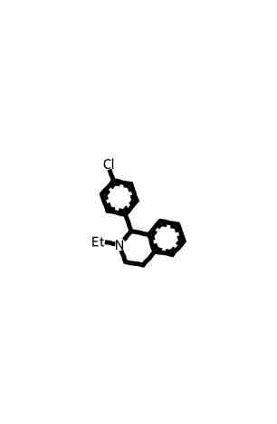 CCN1CCc2ccccc2C1c1ccc(Cl)cc1